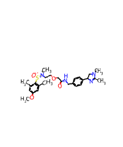 COc1cc(C)c([S+]([O-])N(C)CCOCC(=O)NCc2ccc(C3CN(C)C(C)=N3)cc2)c(C)c1